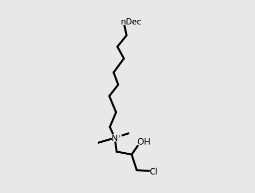 CCCCCCCCCCCCCCCCCC[N+](C)(C)CC(O)CCl